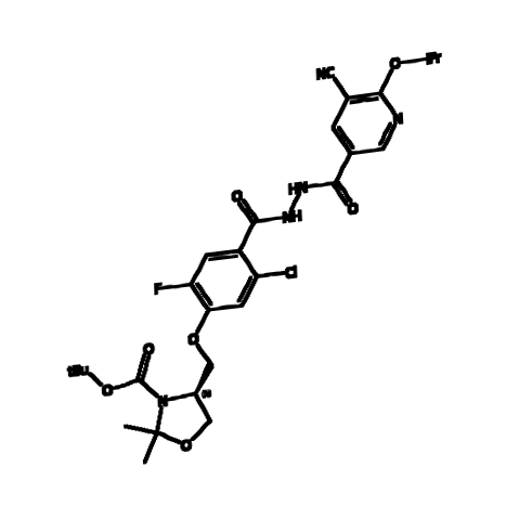 CC(C)Oc1ncc(C(=O)NNC(=O)c2cc(F)c(OC[C@H]3COC(C)(C)N3C(=O)OC(C)(C)C)cc2Cl)cc1C#N